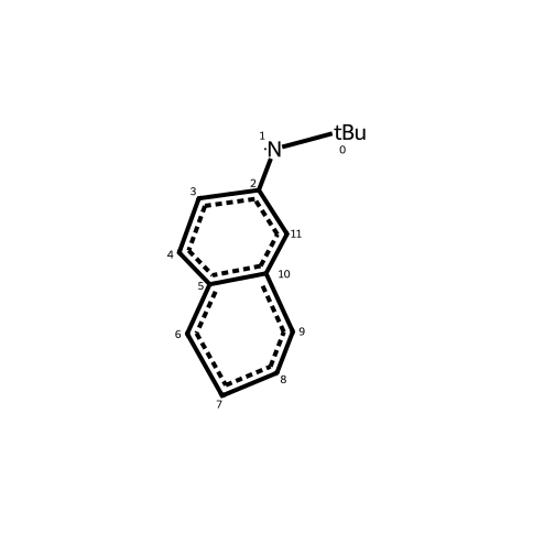 CC(C)(C)[N]c1ccc2ccccc2c1